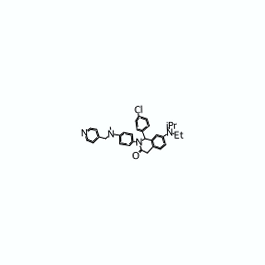 CCN(c1ccc2c(c1)C(c1ccc(Cl)cc1)N(c1ccc(N(C)Cc3ccncc3)cc1)C(=O)C2)C(C)C